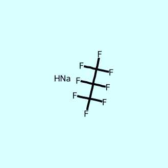 FC(F)(F)C(F)(F)C(F)(F)F.[NaH]